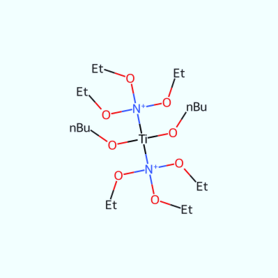 CCCC[O][Ti]([O]CCCC)([N+](OCC)(OCC)OCC)[N+](OCC)(OCC)OCC